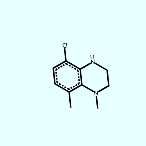 Cc1ccc(Cl)c2c1N(C)CCN2